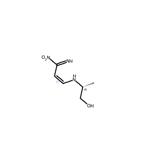 C[C@H](CO)N/C=C\C(=N)[N+](=O)[O-]